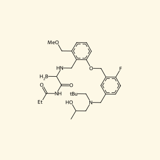 BC(NCc1c(COC)cccc1OCc1cc(CN(CC(C)O)CC(C)(C)C)ccc1F)C(=O)NC(=O)CC